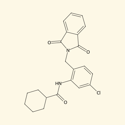 O=C(Nc1cc(Cl)ccc1CN1C(=O)c2ccccc2C1=O)C1CCCCC1